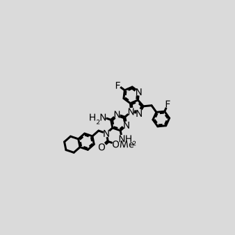 COC(=O)N(Cc1ccc2c(c1)CCCC2)c1c(N)nc(-n2nc(Cc3ccccc3F)c3ncc(F)cc32)nc1N